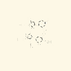 C[C@H]1Oc2cc(cnc2N)-c2c(nn(C)c2C#N)Cn2c(cc(=O)n2C)-c2ccc(F)cc21